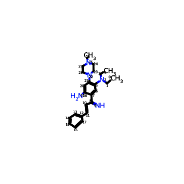 CCN(CC)c1cc(C(=N)/C=C/c2ccccc2)c(N)cc1N1CCN(C)CC1